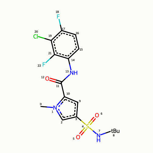 Cn1cc(S(=O)(=O)NC(C)(C)C)cc1C(=O)Nc1ccc(F)c(Cl)c1F